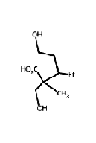 CCC(CCO)C(C)(CO)C(=O)O